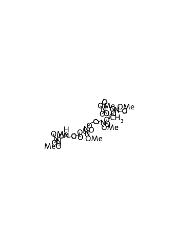 COCN(Cc1ccccc1)C(=O)OCC(C)(COC(=O)N(COC)Cc1ccccc1)COC(=O)N(COC)Cc1ccc(COCN2CC(OC(=O)c3ccc(CNc4ccc5c(c4)n(COC)c(=O)n5COC)cc3)CN(COC)C2=O)cc1